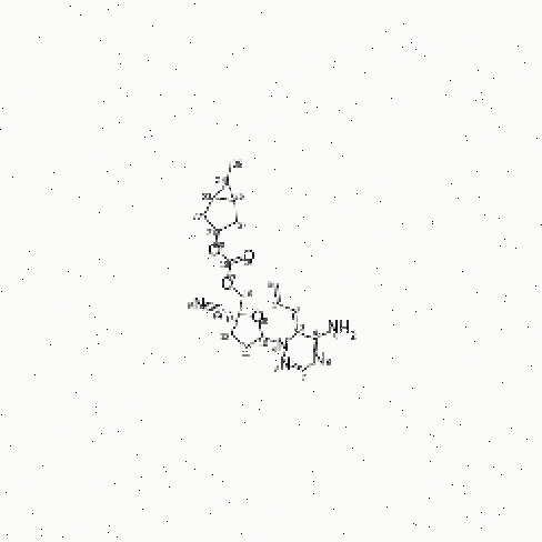 C=C/C=C1/C(N)=NC=NN1C1CC[C@@](C#N)(COC(=O)OC2CC3C(C)C3C2)O1